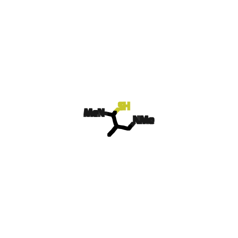 CNCC(C)C(S)NC